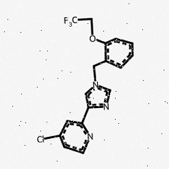 FC(F)(F)COc1ccccc1Cn1cnc(-c2cc(Cl)ccn2)c1